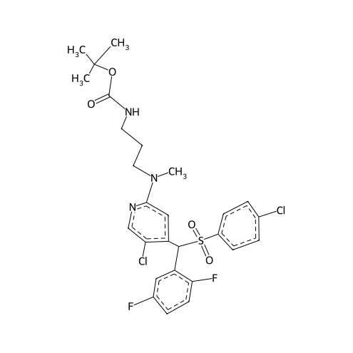 CN(CCCNC(=O)OC(C)(C)C)c1cc(C(c2cc(F)ccc2F)S(=O)(=O)c2ccc(Cl)cc2)c(Cl)cn1